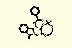 CC1(C)OCCO[C@H](CN2Cc3ccccc3C2=O)[C@H](CNC(=O)c2ccccc2)O1